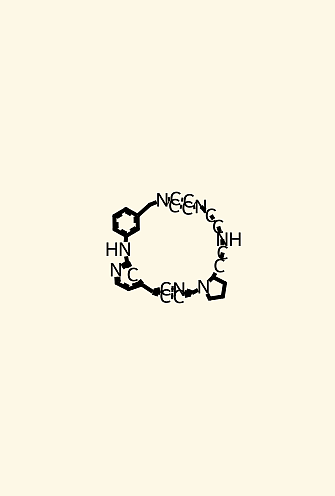 c1cc2cc(c1)Nc1cc(ccn1)-c1ccc(nc1)N1CCCC1CCNCCN1CCN(CC1)C2